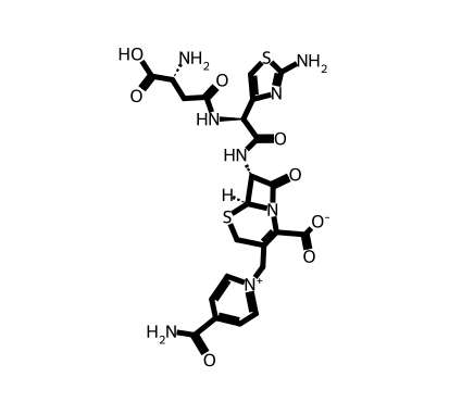 NC(=O)c1cc[n+](CC2=C(C(=O)[O-])N3C(=O)[C@@H](NC(=O)[C@@H](NC(=O)C[C@@H](N)C(=O)O)c4csc(N)n4)[C@@H]3SC2)cc1